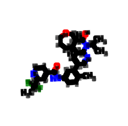 Cc1ccc(NC(=O)c2ccnc(C(C)(F)F)c2)cc1-c1cnc2c(c1)[C@@H]1CCCOC[C@H]1C(=O)N2C(C)C